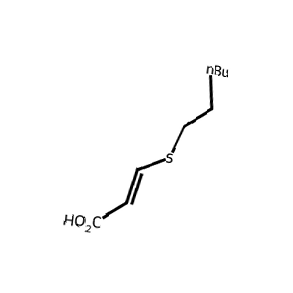 CCCCCCSC=CC(=O)O